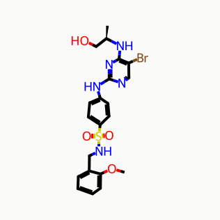 COc1ccccc1CNS(=O)(=O)c1ccc(Nc2ncc(Br)c(N[C@H](C)CO)n2)cc1